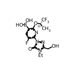 CCn1c(CO)nn(-c2nc(O[C@@H](C)C(F)(F)F)c(B(O)O)cc2F)c1=O